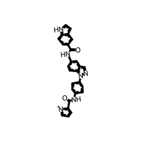 Cn1cccc1C(=O)Nc1ccc(-n2ncc3cc(NC(=O)c4ccc5[nH]ccc5c4)ccc32)cc1